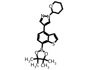 CC1(C)OB(c2ccc(-c3cnn(C4CCCCO4)c3)c3ccsc23)OC1(C)C